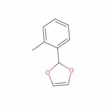 Cc1ccccc1C1OC=CO1